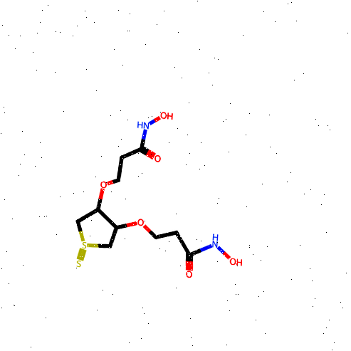 O=C(CCOC1CS(=S)CC1OCCC(=O)NO)NO